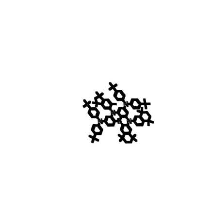 Cc1cc2c(cc1N1c3cc(N(c4ccc(C(C)(C)C)cc4)c4ccc(C(C)(C)C)cc4)ccc3B3c4cc5c(cc4N(c4ccc6c(c4)C(C)(C)CCC6(C)C)c4cc(N(c6ccc(C(C)(C)C)cc6)c6ccc(C(C)(C)C)cc6)cc1c43)C(C)(C)CCC5(C)C)C(C)(C)CC2(C)C